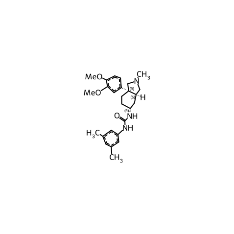 COc1ccc([C@@]23CC[C@@H](NC(=O)Nc4cc(C)cc(C)c4)C[C@@H]2CN(C)C3)cc1OC